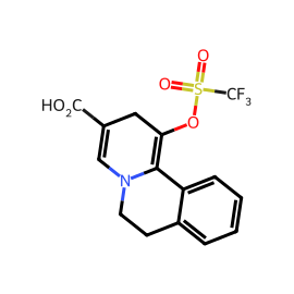 O=C(O)C1=CN2CCc3ccccc3C2=C(OS(=O)(=O)C(F)(F)F)C1